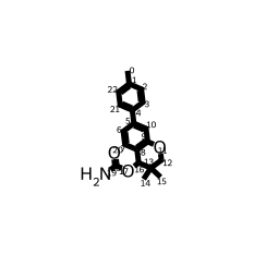 Cc1ccc(-c2ccc3c(c2)OCC(C)(C)C3OC(N)=O)cc1